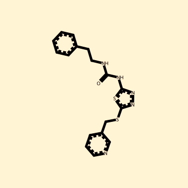 O=C(NCCc1ccccc1)Nc1nnc(SCc2cccnc2)s1